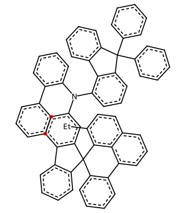 CCc1ccc2cccc3c2c1C1(c2ccccc2-c2ccc(N(c4ccccc4-c4ccccc4)c4cccc5c4-c4ccccc4C5(c4ccccc4)c4ccccc4)cc21)c1ccccc1-3